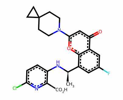 C[C@@H](Nc1ccc(Cl)nc1C(=O)O)c1cc(F)cc2c(=O)cc(N3CCC4(CC3)CC4)oc12